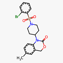 Cc1ccc2c(c1)COC(=O)N2C1CCN(S(=O)(=O)c2ccccc2Br)CC1